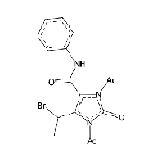 CC(=O)n1c(C(=O)Nc2ccccc2)c(C(C)Br)n(C(C)=O)c1=O